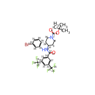 CC(C)(C)OC(=O)N1CCC(NC(=O)c2cc(C(F)(F)F)cc(C(F)(F)F)c2)[C@H](c2ccc(Br)cc2)C1